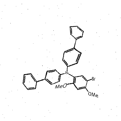 COc1cc(OC)c(N(c2ccc(-c3ccccc3)cc2)c2ccc(-c3ccccc3)cc2)cc1Br